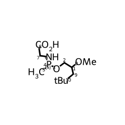 COC(CO[P@](C)NCC(=O)O)CC(C)(C)C